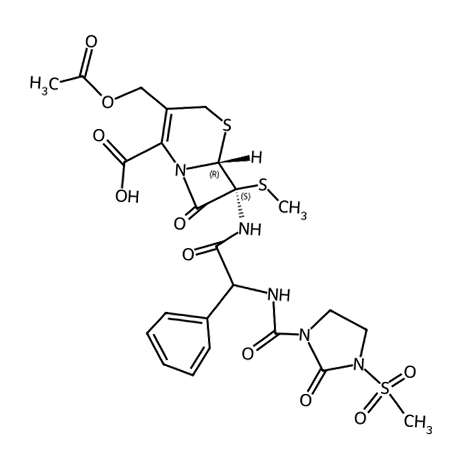 CS[C@@]1(NC(=O)C(NC(=O)N2CCN(S(C)(=O)=O)C2=O)c2ccccc2)C(=O)N2C(C(=O)O)=C(COC(C)=O)CS[C@@H]21